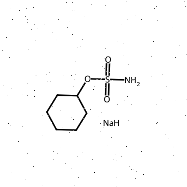 NS(=O)(=O)OC1CCCCC1.[NaH]